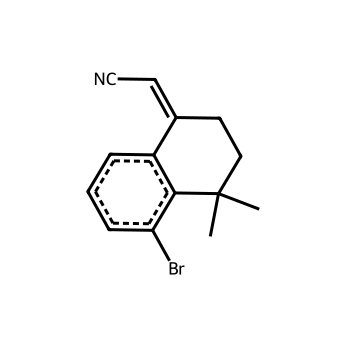 CC1(C)CC/C(=C/C#N)c2cccc(Br)c21